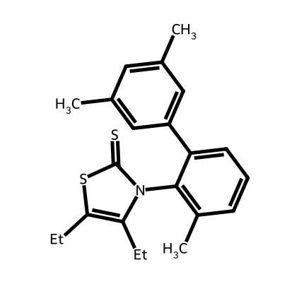 CCc1sc(=S)n(-c2c(C)cccc2-c2cc(C)cc(C)c2)c1CC